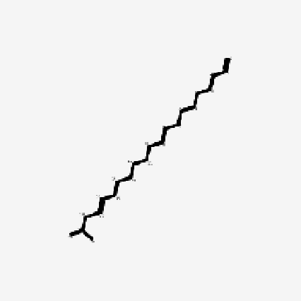 C=CCCCCCCCCCCCCCCC=CCC(C)C